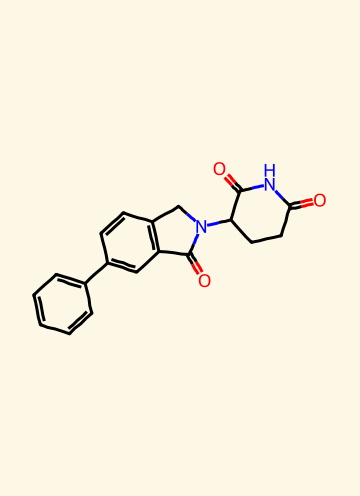 O=C1CCC(N2Cc3ccc(-c4ccccc4)cc3C2=O)C(=O)N1